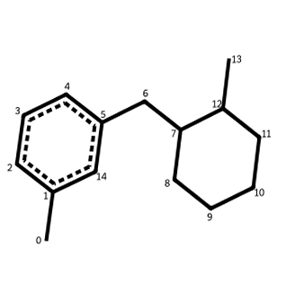 Cc1cccc(CC2CCCCC2C)c1